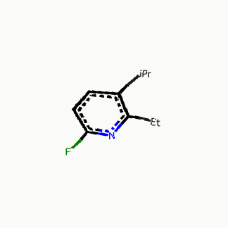 CCc1nc(F)ccc1C(C)C